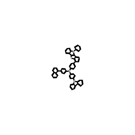 c1ccc(-n2c3ccccc3c3sc4c(-c5ccc(N(c6ccc(-c7cccc8ccccc78)cc6)c6ccc(-n7c8ccccc8c8ccccc87)cc6)cc5)cccc4c32)cc1